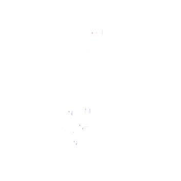 CCCCc1[nH]c(NC(=S)NC)nc(=O)c1Cc1ccc(-c2ccccc2C(=O)O)cc1